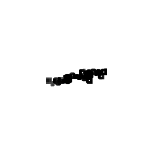 CO/N=C/c1ccc(OCCCCOc2c(Cl)cc(OCC=C(Cl)Cl)cc2Cl)cc1